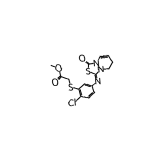 COC(=O)CSc1cc(N=c2sc(=O)n3n2CCC=C3)ccc1Cl